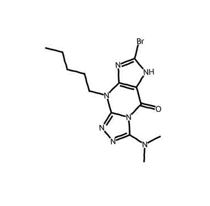 CCCCCn1c2nc(Br)[nH]c2c(=O)n2c(N(C)C)nnc12